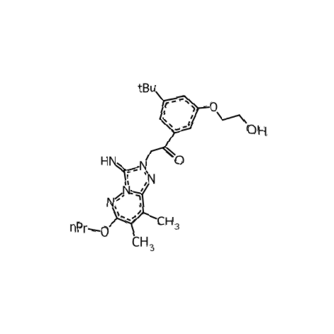 CCCOc1nn2c(=N)n(CC(=O)c3cc(OCCO)cc(C(C)(C)C)c3)nc2c(C)c1C